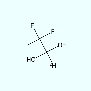 [2H]C(O)(O)C(F)(F)F